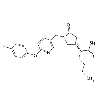 CCCCN(C(=O)S)[C@@H]1CC(=O)N(Cc2ccc(Oc3ccc(F)cc3)nc2)C1